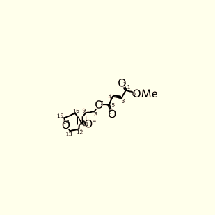 COC(=O)C=CC(=O)OCC[N+]1([O-])CCOCC1